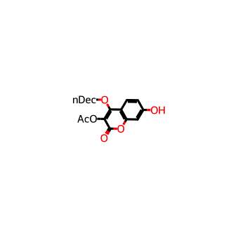 CCCCCCCCCCOc1c(OC(C)=O)c(=O)oc2cc(O)ccc12